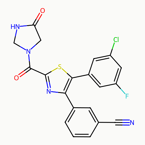 N#Cc1cccc(-c2nc(C(=O)N3CNC(=O)C3)sc2-c2cc(F)cc(Cl)c2)c1